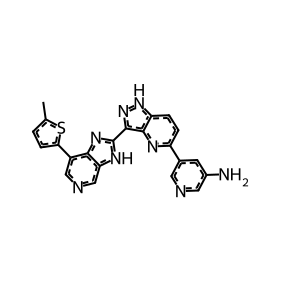 Cc1ccc(-c2cncc3[nH]c(-c4n[nH]c5ccc(-c6cncc(N)c6)nc45)nc23)s1